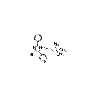 C[Si](C)(C)CCOCn1c(-c2ccccc2)nc(Br)c1-c1ccncc1